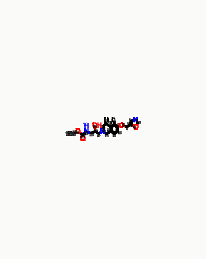 Cc1c(OCc2cnco2)ccc2c1CCN(C[C@@H](O)CNC(=O)OC(C)(C)C)C2